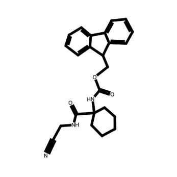 N#CCNC(=O)C1(NC(=O)OCC2c3ccccc3-c3ccccc32)CCCCC1